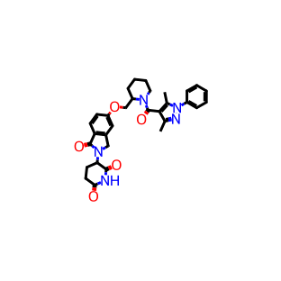 Cc1nn(-c2ccccc2)c(C)c1C(=O)N1CCCCC1COc1ccc2c(c1)CN(C1CCC(=O)NC1=O)C2=O